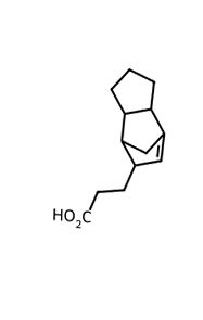 O=C(O)CCC1C=C2CC1C1CCCC21